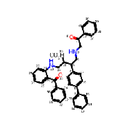 O=C(CNCC(c1ccc(-c2ccccc2)cc1)C(CNc1ccccc1C(=O)c1ccccc1)C(=O)O)c1ccccc1